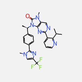 CC(C)c1ncccc1-c1ncc2c(n1)n([C@H](C)c1ccc(-c3nc(C(F)(F)F)cn3C)cc1)c(=O)n2C